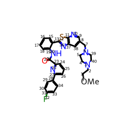 COCCN1CCN(Cc2cnc3sc(-c4ccccc4NC(=O)c4cccc(-c5ccc(F)cc5)n4)nc3c2)CC1